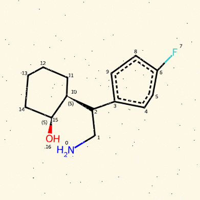 NCC(c1ccc(F)cc1)[C@@H]1CCCC[C@@H]1O